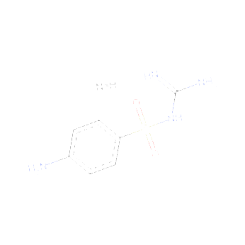 N=C(N)NS(=O)(=O)c1ccc(N)cc1.[NaH]